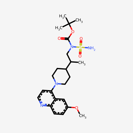 COc1ccc2nccc(N3CCC(C(C)CN(C(=O)OC(C)(C)C)S(N)(=O)=O)CC3)c2c1